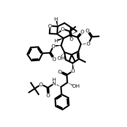 CC(=O)O[C@H]1C(=O)[C@]23CC2C[C@H]2OC[C@@]2(OC(C)=O)[C@H]3[C@H](OC(=O)c2ccccc2)[C@]2(O)C[C@H](OC(=O)[C@H](O)[C@@H](NC(=O)OC(C)(C)C)c3ccccc3)C(C)=C1C2(C)C